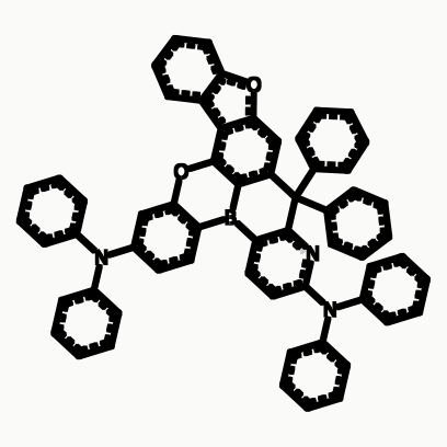 c1ccc(N(c2ccccc2)c2ccc3c(c2)Oc2c4c(cc5oc6ccccc6c25)C(c2ccccc2)(c2ccccc2)c2nc(N(c5ccccc5)c5ccccc5)ccc2B34)cc1